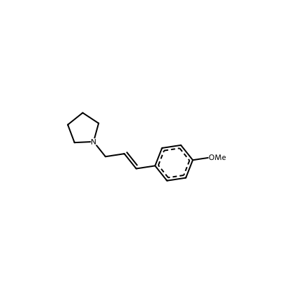 COc1ccc(C=CCN2CCCC2)cc1